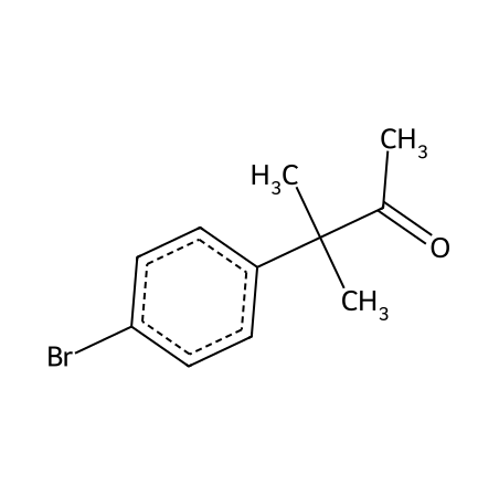 CC(=O)C(C)(C)c1ccc(Br)cc1